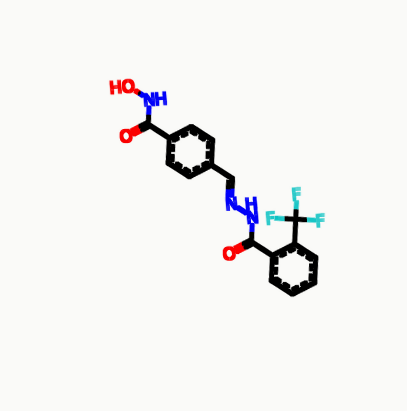 O=C(NO)c1ccc(C=NNC(=O)c2ccccc2C(F)(F)F)cc1